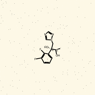 C[C@@H](O)[C@](O)(Cn1cncn1)c1cccc(F)c1F